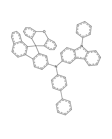 c1ccc(-c2ccc(N(c3ccc4c(c3)C3(c5ccccc5Oc5ccccc53)c3c-4ccc4ccccc34)c3ccc4c(c3)c3ccccc3n4-c3ccccc3)cc2)cc1